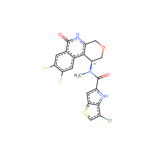 CN(C(=O)c1cc2scc(Cl)c2[nH]1)[C@@H]1COCc2[nH]c(=O)c3cc(F)c(F)cc3c21